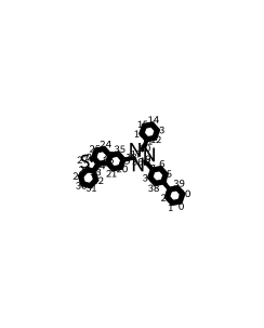 c1ccc(-c2ccc(-c3nc(-c4ccccc4)nc(-c4ccc5c(ccc6sc7ccccc7c65)c4)n3)cc2)cc1